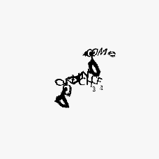 COC(=O)c1ccc(C(F)(F)F)c(NCC2CCN(C(=O)OCc3ccccc3)CC2C)c1